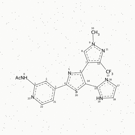 CC(=O)Nc1cc(-c2nc(-c3cn(C)nc3C(F)(F)F)c(-c3ncc[nH]3)s2)ccn1